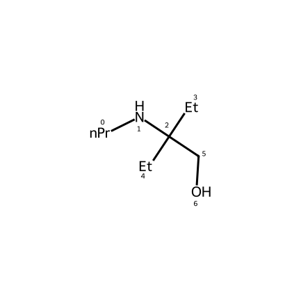 CCCNC(CC)(CC)CO